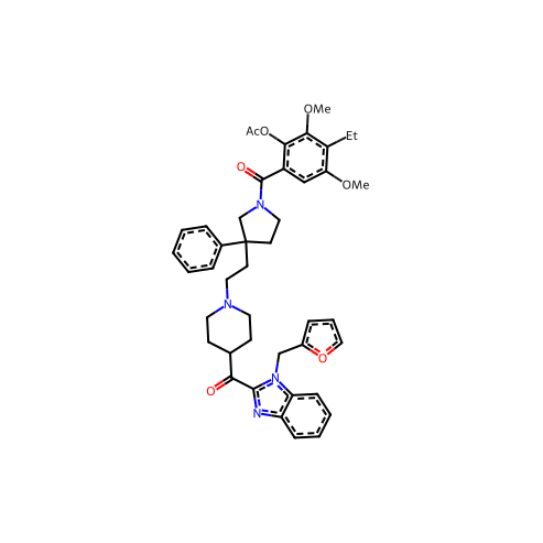 CCc1c(OC)cc(C(=O)N2CCC(CCN3CCC(C(=O)c4nc5ccccc5n4Cc4ccco4)CC3)(c3ccccc3)C2)c(OC(C)=O)c1OC